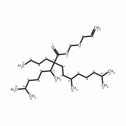 C=CCOCOC(=O)C(CCCC)(CCC(C)CCCC(C)C)C(C)CCCC(C)C